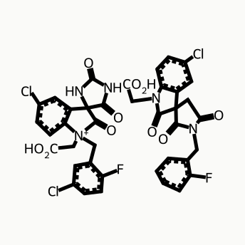 O=C(O)CN1C(=O)C2(CC(=O)N(Cc3ccccc3F)C2=O)c2cc(Cl)ccc21.O=C(O)C[N+]1(Cc2cc(Cl)ccc2F)C(=O)C2(NC(=O)NC2=O)c2cc(Cl)ccc21